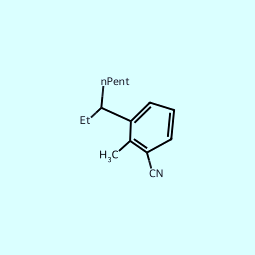 CCCCCC(CC)c1cccc(C#N)c1C